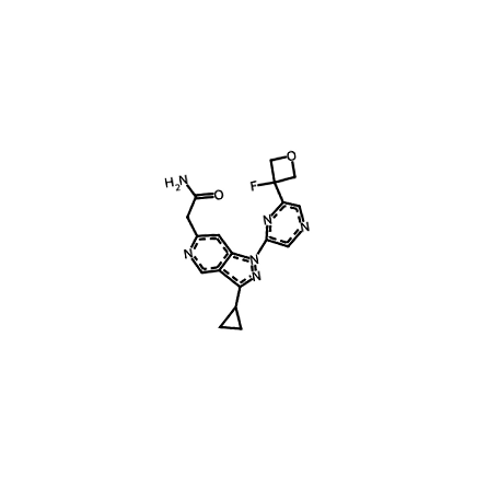 NC(=O)Cc1cc2c(cn1)c(C1CC1)nn2-c1cncc(C2(F)COC2)n1